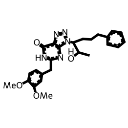 COc1ccc(Cc2nc3c(nnn3C(CCCc3ccccc3)C(C)O)c(=O)[nH]2)cc1OC